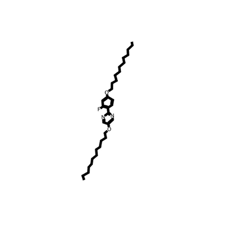 CCCCCCCCCCCCOc1cnc(-c2ccc(OCCCCCCCCCCCC)cc2F)nc1